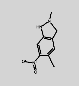 Cc1cc2c(cc1[N+](=O)[O-])NN(C)C2